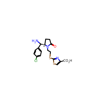 NC(c1ccc(Cl)cc1)[C@H]1CCC(=O)N1CCSc1nc(C(=O)O)cs1